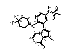 Cc1cc(-c2cc(NS(C)(=O)=O)cnc2OC2CCC(F)(F)CC2)n2cc[nH]c(=O)c12